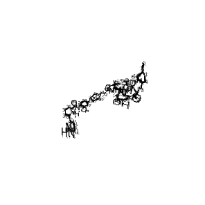 C#Cc1ccc(CNC(=O)[C@@H]2C[C@@H](O)CN2C(=O)[C@@H](NC(=O)CCN2CCN(c3ccc(NC(=O)c4cccc(-c5cc[nH]n5)n4)c(OC)c3)C[C@H]2C)C(C)(C)C)c(OC)c1